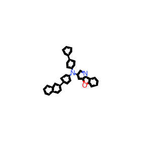 c1ccc(-c2ccc(N(c3ccc(-c4ccc5ccccc5c4)cc3)c3cnc4c(c3)oc3ccccc34)cc2)cc1